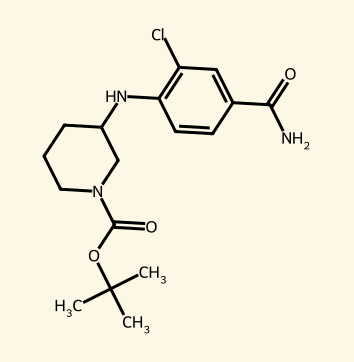 CC(C)(C)OC(=O)N1CCCC(Nc2ccc(C(N)=O)cc2Cl)C1